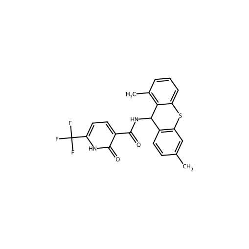 Cc1ccc2c(c1)Sc1cccc(C)c1C2NC(=O)c1ccc(C(F)(F)F)[nH]c1=O